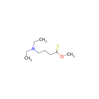 CCN(CC)CCCC(=S)OC